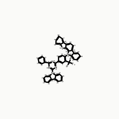 FC(F)(F)c1cc(-c2nc(-c3ccccc3)nc(-n3c4ccccc4c4ccccc43)n2)ccc1-n1c2ccccc2c2ccc3c4ccccc4sc3c21